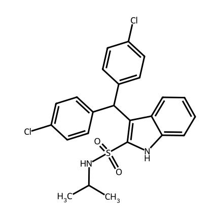 CC(C)NS(=O)(=O)c1[nH]c2ccccc2c1C(c1ccc(Cl)cc1)c1ccc(Cl)cc1